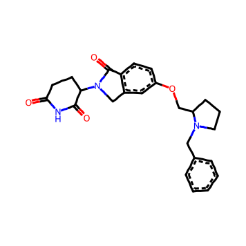 O=C1CCC(N2Cc3cc(OCC4CCCN4Cc4ccccc4)ccc3C2=O)C(=O)N1